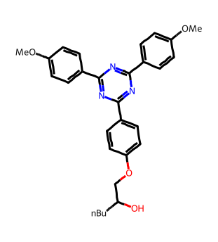 CCCCC(O)COc1ccc(-c2nc(-c3ccc(OC)cc3)nc(-c3ccc(OC)cc3)n2)cc1